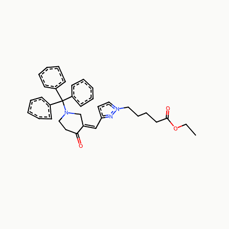 CCOC(=O)CCCCn1ccc(/C=C2\CN(C(c3ccccc3)(c3ccccc3)c3ccccc3)CCC2=O)n1